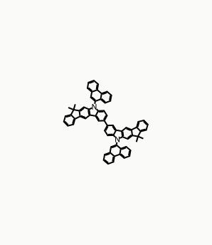 CC1(C)c2ccccc2-c2cc3c4cc(-c5ccc6c(c5)c5cc7c(cc5n6-c5cc6ccccc6c6ccccc56)C(C)(C)c5ccccc5-7)ccc4n(-c4cc5ccccc5c5ccccc45)c3cc21